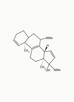 CNC1CC2CCC=C[C@]2(C)C2=C1[C@@H]1C=CC(O)(NC)[C@@]1(C)CC2